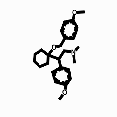 COc1ccc(COC2(C(CN(C)C)c3ccc(OC)cc3)CCCCC2)cc1